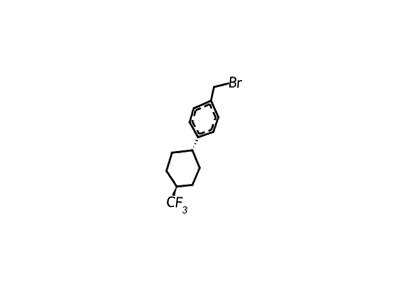 FC(F)(F)[C@H]1CC[C@H](c2ccc(CBr)cc2)CC1